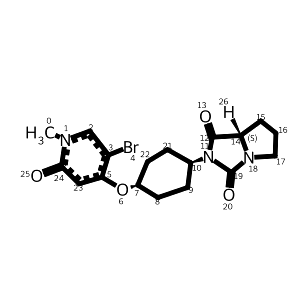 Cn1cc(Br)c(O[C@H]2CC[C@H](N3C(=O)[C@@H]4CCCN4C3=O)CC2)cc1=O